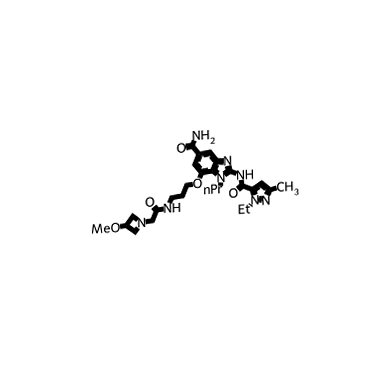 CCCn1c(NC(=O)c2cc(C)nn2CC)nc2cc(C(N)=O)cc(OCCCNC(=O)CN3CC(OC)C3)c21